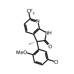 COc1ccc(Cl)cc1[C@]1(C)C(=O)Nc2nc(C(F)(F)F)ccc21